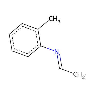 [CH2]C=Nc1ccccc1C